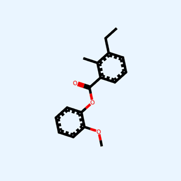 CCc1cccc(C(=O)Oc2ccccc2OC)c1C